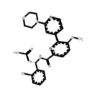 COc1ccc(C(=O)N[C@@H](CC(=O)O)c2ccccc2Cl)nc1-c1ccnc(N2CCOCC2)c1